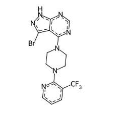 FC(F)(F)c1cccnc1N1CCN(c2ncnc3[nH]nc(Br)c23)CC1